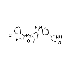 Nc1ncc(C2CCC(=O)NC2)cc1-c1ccc(C(=O)N[C@H](CO)c2cccc(Cl)c2)c(F)c1